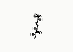 CNC(=O)NCCNC(C)(C)C